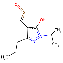 CCCc1nn(C(C)C)c(O)c1C=S=O